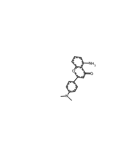 CN(C)c1ccc(-c2cc(=O)c3c(N)cccc3o2)cc1